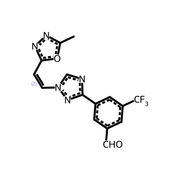 Cc1nnc(/C=C\n2cnc(-c3cc(C=O)cc(C(F)(F)F)c3)n2)o1